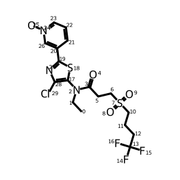 CCN(C(=O)CCS(=O)(=O)CCCC(F)(F)F)c1sc(-c2ccc[n+]([O-])c2)nc1Cl